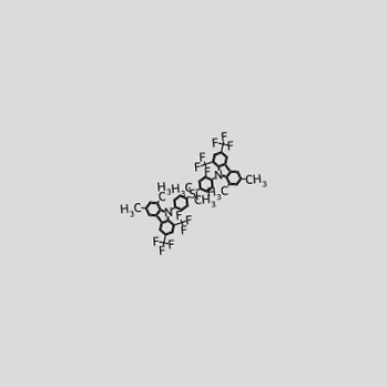 Cc1cc(C)c2c(c1)c1cc(C(F)(F)F)cc(C(F)(F)F)c1n2-c1ccc([Si](C)(C)c2ccc(-n3c4c(C)cc(C)cc4c4cc(C(F)(F)F)cc(C(F)(F)F)c43)cc2)cc1